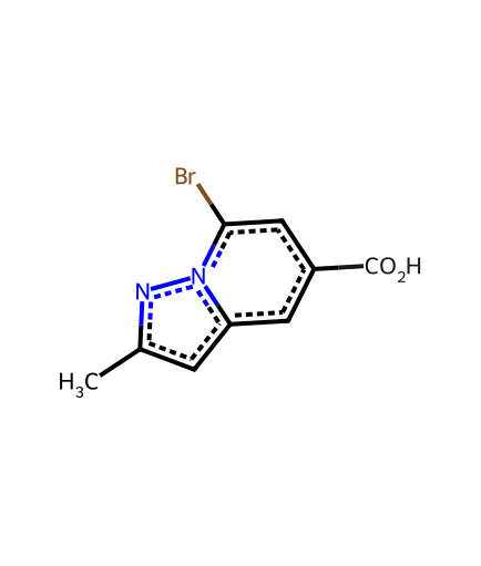 Cc1cc2cc(C(=O)O)cc(Br)n2n1